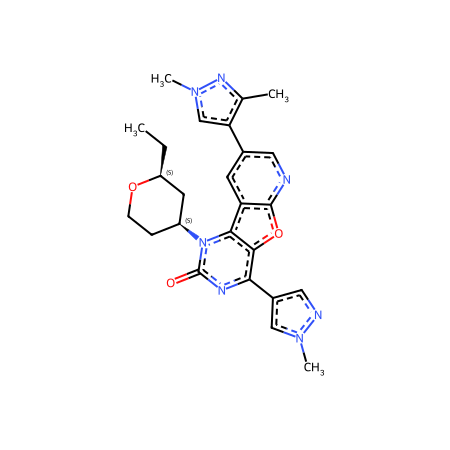 CC[C@H]1C[C@@H](n2c(=O)nc(-c3cnn(C)c3)c3oc4ncc(-c5cn(C)nc5C)cc4c32)CCO1